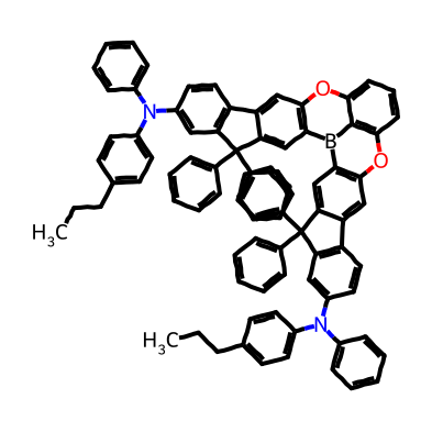 CCCc1ccc(N(c2ccccc2)c2ccc3c(c2)C(c2ccccc2)(c2ccccc2)c2cc4c(cc2-3)Oc2cccc3c2B4c2cc4c(cc2O3)-c2ccc(N(c3ccccc3)c3ccc(CCC)cc3)cc2C4(c2ccccc2)c2ccccc2)cc1